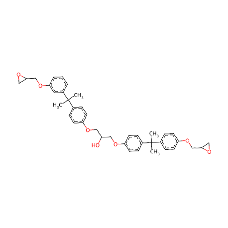 CC(C)(c1ccc(OCC(O)COc2ccc(C(C)(C)c3cccc(OCC4CO4)c3)cc2)cc1)c1ccc(OCC2CO2)cc1